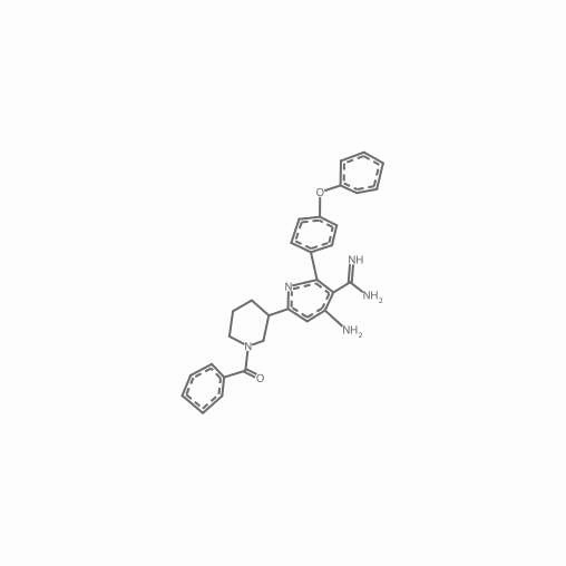 N=C(N)c1c(N)cc(C2CCCN(C(=O)c3ccccc3)C2)nc1-c1ccc(Oc2ccccc2)cc1